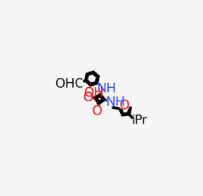 CC(C)c1coc(CNc2c(Nc3cccc(C=O)c3O)c(=O)c2=O)c1